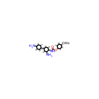 COc1ccc(OC(=O)Nc2ccc(-c3ccc(N)cc3)cc2N)cc1